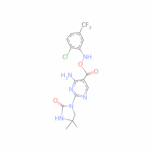 CC1(C)CN(c2ncc(C(=O)ONc3cc(C(F)(F)F)ccc3Cl)c(N)n2)C(=O)N1